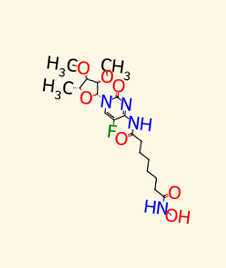 CO[C@@H]1[C@H](OC)[C@@H](C)O[C@H]1n1cc(F)c(NC(=O)CCCCCCC(=O)NO)nc1=O